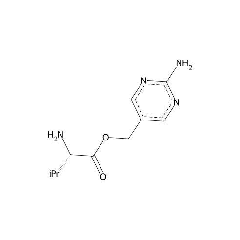 CC(C)[C@H](N)C(=O)OCc1cnc(N)nc1